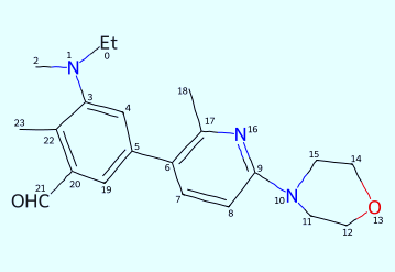 CCN(C)c1cc(-c2ccc(N3CCOCC3)nc2C)cc(C=O)c1C